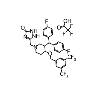 O=C(O)C(F)(F)F.O=c1nc(CN2CC[C@H](OCc3cc(C(F)(F)F)cc(C(F)(F)F)c3)[C@H](C(c3ccc(F)cc3)c3ccc(F)cc3)C2)[nH][nH]1